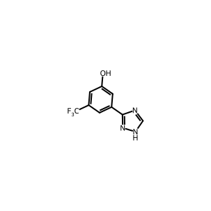 Oc1cc(-c2nc[nH]n2)cc(C(F)(F)F)c1